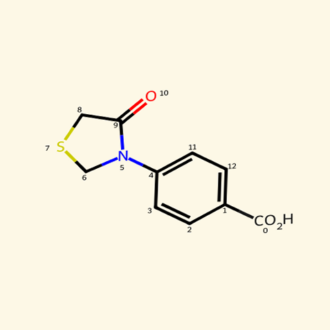 O=C(O)c1ccc(N2CSCC2=O)cc1